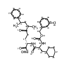 COC(=O)[C@H](CCC(=O)N(C)CC(C)c1ccccc1)NC(=O)[C@H](CC1CCCCC1)NC(=O)OCc1cccc(Cl)c1